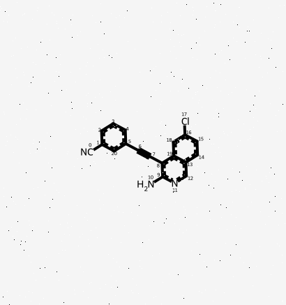 N#Cc1cccc(C#Cc2c(N)ncc3ccc(Cl)cc23)c1